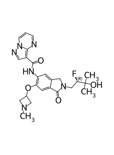 CN1CC(Oc2cc3c(cc2NC(=O)c2cnn4cccnc24)CN(C[C@@H](F)C(C)(C)O)C3=O)C1